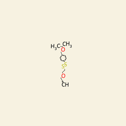 C#CCOCCSSc1ccc(COC(C)C)cc1